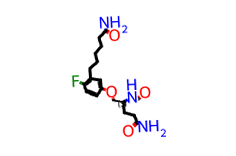 NC(=O)CCCCCc1cc(OC[C@H](CCC(N)=O)NC=O)ccc1F